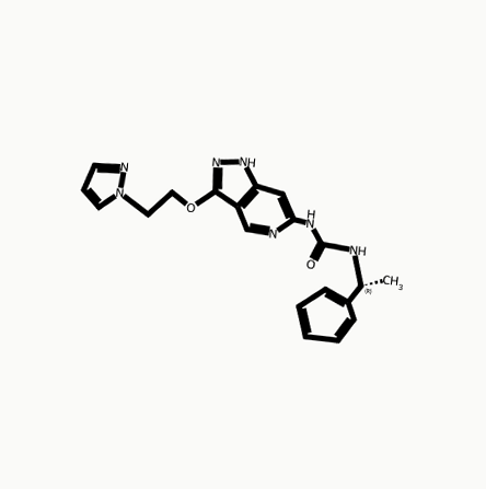 C[C@@H](NC(=O)Nc1cc2[nH]nc(OCCn3cccn3)c2cn1)c1ccccc1